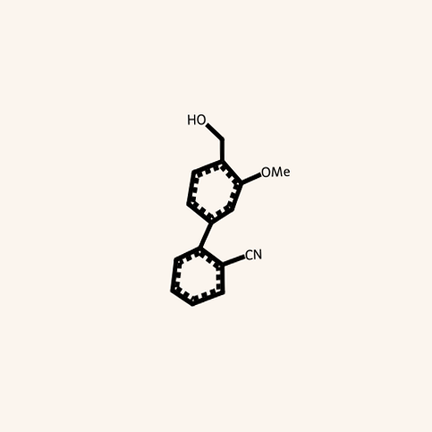 COc1cc(-c2ccccc2C#N)ccc1CO